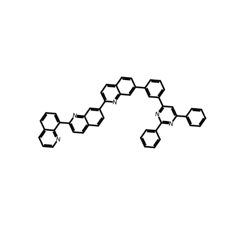 c1ccc(-c2cc(-c3cccc(-c4ccc5ccc(-c6ccc7ccc(-c8cccc9cccnc89)nc7c6)nc5c4)c3)nc(-c3ccccc3)n2)cc1